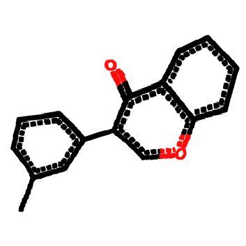 Cc1cccc(-c2coc3ccccc3c2=O)c1